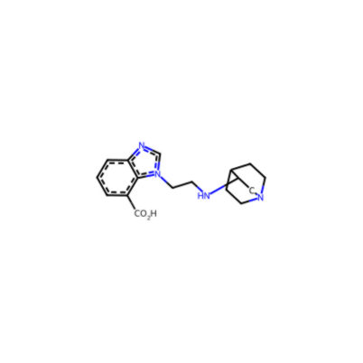 O=C(O)c1cccc2ncn(CCNC3CN4CCC3CC4)c12